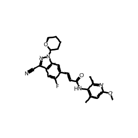 COc1cc(C)c(NC(=O)/C=C/c2cc3c(cc2F)c(C#N)nn3C2CCCCO2)c(C)n1